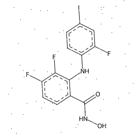 O=C(NO)c1ccc(F)c(F)c1Nc1ccc(I)cc1F